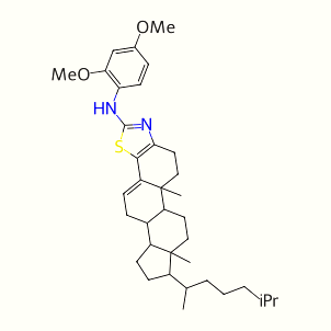 COc1ccc(Nc2nc3c(s2)C2=CCC4C(CCC5(C)C(C(C)CCCC(C)C)CCC45)C2(C)CC3)c(OC)c1